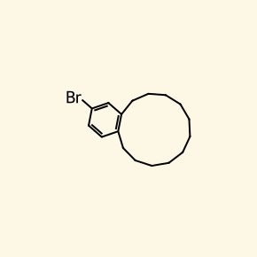 Brc1ccc2c(c1)CCCCCCCCCCC2